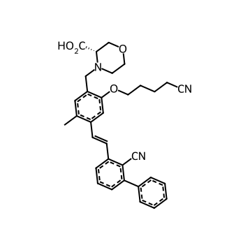 Cc1cc(CN2CCOC[C@H]2C(=O)O)c(OCCCCC#N)cc1/C=C/c1cccc(-c2ccccc2)c1C#N